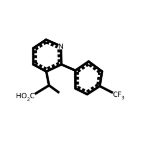 CC(C(=O)O)c1cccnc1-c1ccc(C(F)(F)F)cc1